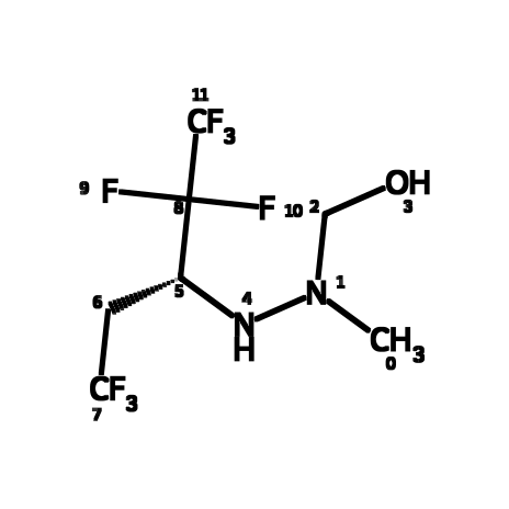 CN(CO)N[C@H](CC(F)(F)F)C(F)(F)C(F)(F)F